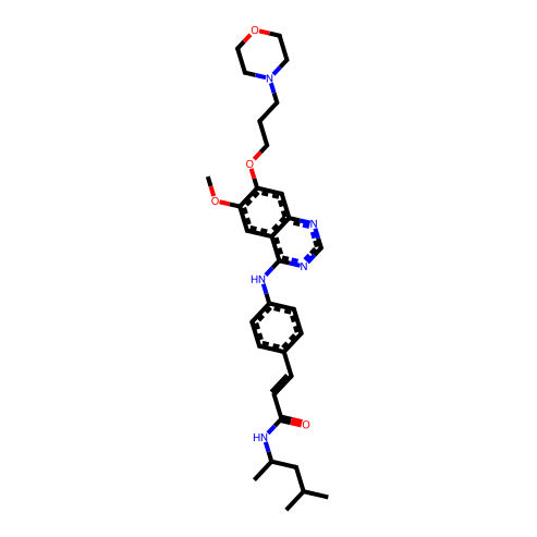 COc1cc2c(Nc3ccc(/C=C/C(=O)NC(C)CC(C)C)cc3)ncnc2cc1OCCCN1CCOCC1